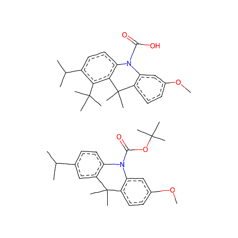 COc1ccc2c(c1)N(C(=O)O)c1ccc(C(C)C)c(C(C)(C)C)c1C2(C)C.COc1ccc2c(c1)N(C(=O)OC(C)(C)C)c1ccc(C(C)C)cc1C2(C)C